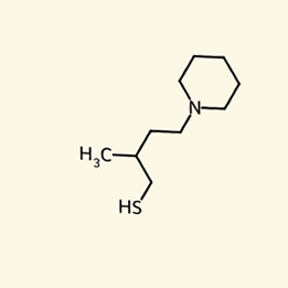 CC(CS)CCN1CCCCC1